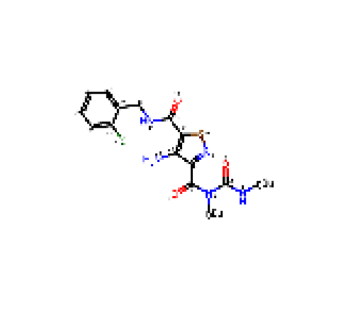 CCCCNC(=O)N(CCCC)C(=O)c1nsc(C(=O)NCc2ccccc2Cl)c1N